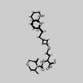 CC1COCC(C)N1C(=O)NC(CCOC1CC(CCc2ccc3c(n2)NCCC3)C1)C(=O)O